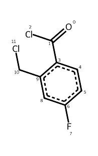 O=C(Cl)c1ccc(F)cc1CCl